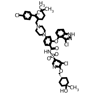 CC1(C)CCC(CN2CCN(c3ccc(C(=O)NS(=O)(=O)c4cnc(OC[C@H]5CC[C@@](C)(O)CC5)c(Cl)c4)c(Oc4cccc5[nH]nc(Cl)c45)c3)CC2)=C(c2ccc(Cl)cc2)C1